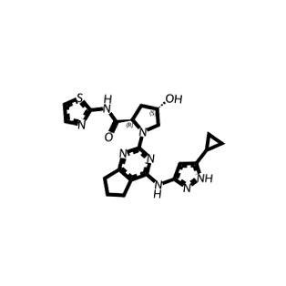 O=C(Nc1nccs1)[C@H]1C[C@H](O)CN1c1nc2c(c(Nc3cc(C4CC4)[nH]n3)n1)CCC2